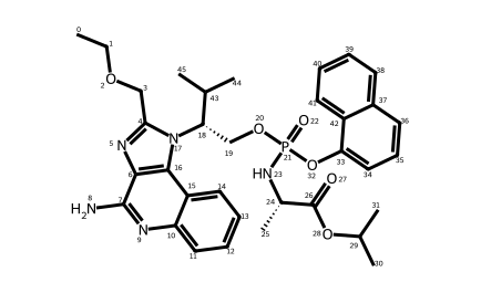 CCOCc1nc2c(N)nc3ccccc3c2n1[C@@H](COP(=O)(N[C@@H](C)C(=O)OC(C)C)Oc1cccc2ccccc12)C(C)C